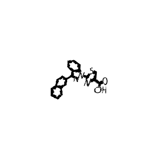 O=C(O)c1csc(-n2nc(-c3ccc4ccccc4c3)c3ccccc32)n1